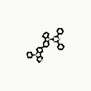 c1ccc(-c2nc(-c3ccccc3)nc(-n3c4ccccc4c4cc(-c5ccc6c(c5)c5cnccc5n6-c5ccccc5)ccc43)n2)cc1